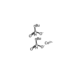 CCCC[PH](=O)[O-].CCCC[PH](=O)[O-].[Co+2]